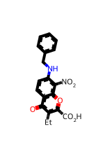 CCc1c(C(=O)O)oc2c([N+](=O)[O-])c(NCc3ccccc3)ccc2c1=O